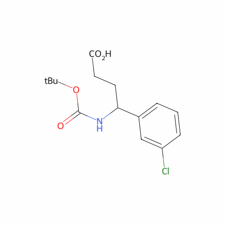 CC(C)(C)OC(=O)NC(CCC(=O)O)c1cccc(Cl)c1